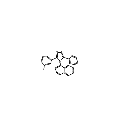 Cc1cccc(-c2nnc(-c3ccccc3)n2-c2cccc3ccccc23)c1